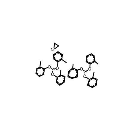 Cc1ccccc1OP(Oc1ccccc1C)Oc1ccccc1C.Cc1ccccc1OP(Oc1ccccc1C)Oc1ccccc1C.[CH2]1[CH2][Ni]1